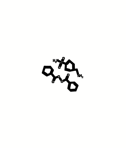 NCc1ccc(S(N)(=O)=O)cc1.O=C(OOC(=O)c1ccccc1)c1ccccc1